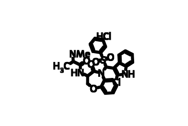 CNC(C)C(=O)NC1COc2ccccc2N(C(c2c(Cl)[nH]c3ccccc23)S(=O)(=O)c2ccccc2)C1=O.Cl